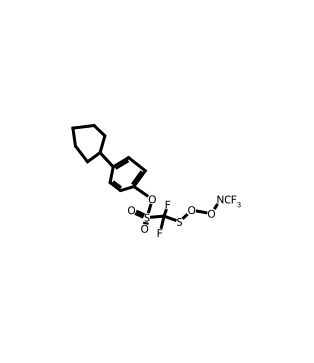 O=S(=O)(Oc1ccc(C2CCCCC2)cc1)C(F)(F)SOONC(F)(F)F